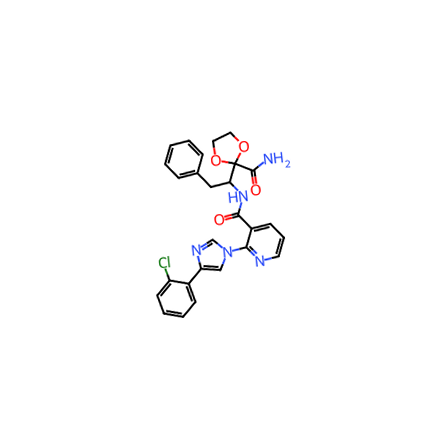 NC(=O)C1(C(Cc2ccccc2)NC(=O)c2cccnc2-n2cnc(-c3ccccc3Cl)c2)OCCO1